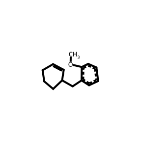 COc1ccccc1CC1C=CCCC1